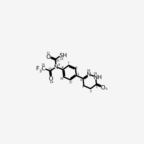 O=C1CCC(c2ccc(N(C(=O)S)C(=O)C(F)(F)F)cc2)=NN1